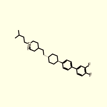 CC(C)CC[SiH]1CCC(CC[C@H]2CC[C@H](c3ccc(-c4ccc(F)c(F)c4)cc3)CC2)CC1